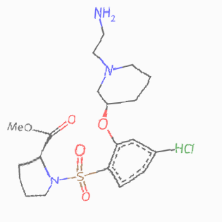 COC(=O)[C@@H]1CCCN1S(=O)(=O)c1ccc(C)cc1O[C@@H]1CCCN(CCN)C1.Cl